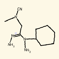 CN(C#N)C/C(=N/N)N(N)C1CCCCC1